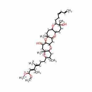 C=C/C=C\CCC1OC2CCC3(C)OC4C(O)CC5(C)OC(CC/C=C(C)/C(C)=C/C(OC)OC)C(C)CC5OC4CC3OC2CCC1(C)O